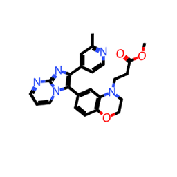 COC(=O)CCN1CCOc2ccc(-c3c(-c4ccnc(C)c4)nc4ncccn34)cc21